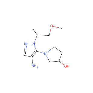 COCC(C)n1ncc(N)c1N1CCC(O)C1